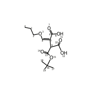 CCCOC=C(C(=O)O)C(C(=O)O)C(=O)OC(C)(C)C